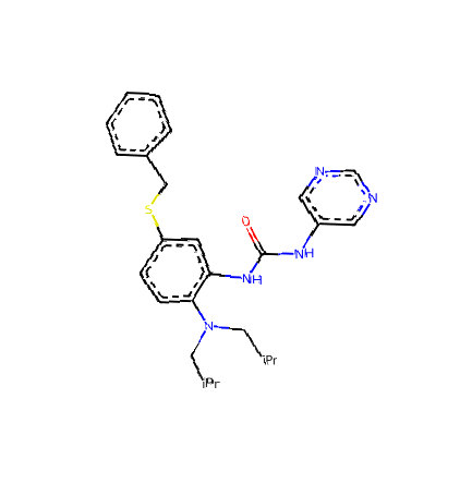 CC(C)CN(CC(C)C)c1ccc(SCc2ccccc2)cc1NC(=O)Nc1cncnc1